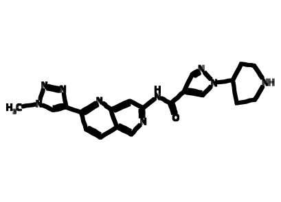 Cn1cc(-c2ccc3cnc(NC(=O)c4cnn(C5CCNCC5)c4)cc3n2)nn1